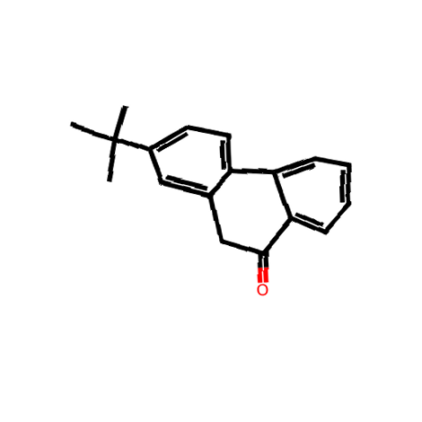 CC(C)(C)c1ccc2c(c1)CC(=O)c1ccccc1-2